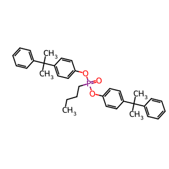 CCCCP(=O)(Oc1ccc(C(C)(C)c2ccccc2)cc1)Oc1ccc(C(C)(C)c2ccccc2)cc1